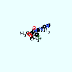 COc1cc2c(cc1OC(C)C)[C@H](c1ccc(Cl)cc1)N(c1ccc(N(C)CC3CCC(N4CCCC4)CC3)cc1)C(=O)C2